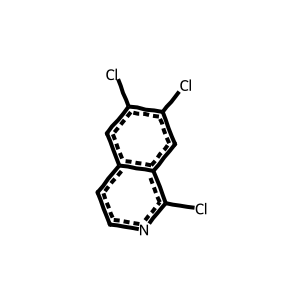 Clc1cc2ccnc(Cl)c2cc1Cl